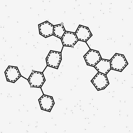 c1ccc(-c2cc(-c3ccc(-c4nc5c(-c6ccc7c8ccccc8c8ccccc8c7c6)cccc5c5oc6ccccc6c45)cc3)nc(-c3ccccc3)n2)cc1